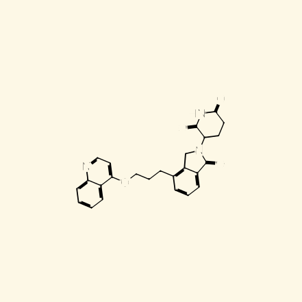 O=C1CCC(N2Cc3c(CCCOc4ccnc5ccccc45)cccc3C2=O)C(=O)N1